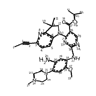 CC#Cc1ccc2c(n1)C(C)(C)CN2c1nc(Nc2cc(N)c(N3CCN(C)CC3)cc2OC)ncc1C(=O)OC(C)C